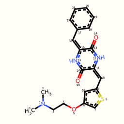 CN(C)CCOc1csc(C=c2[nH]c(=O)c(=Cc3ccccc3)[nH]c2=O)c1